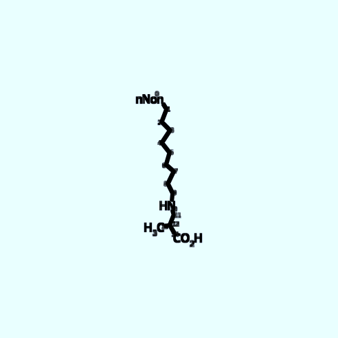 CCCCCCCCCCCCCCCCCCNCC(C)C(=O)O